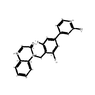 CCc1cc(-c2cc(F)c(Cn3c(=O)cnc4ccccc43)c(F)c2)ccn1